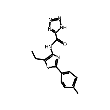 CCc1sc(-c2ccc(C)cc2)nc1NC(=O)c1nnn[nH]1